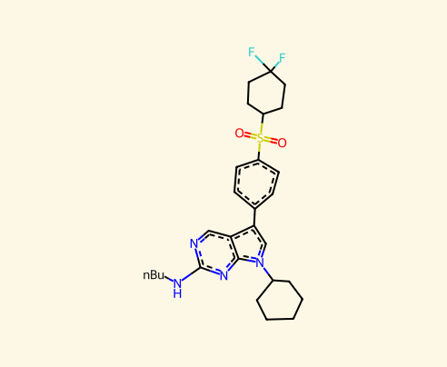 CCCCNc1ncc2c(-c3ccc(S(=O)(=O)C4CCC(F)(F)CC4)cc3)cn(C3CCCCC3)c2n1